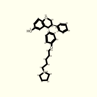 Oc1ccc2c(c1)[C@@H](c1ccc(OCCCCCN3CCCC3)cc1)[C@H](c1ccccc1)CO2